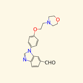 O=Cc1ccc2ncn(-c3ccc(OCCN4CCOCC4)cc3)c2c1